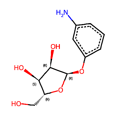 Nc1cccc(O[C@H]2O[C@H](CO)[C@@H](O)[C@H]2O)c1